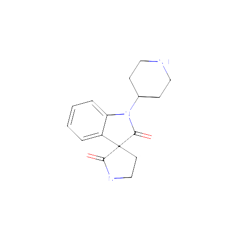 O=C1NCCC12C(=O)N(C1CCNCC1)c1ccccc12